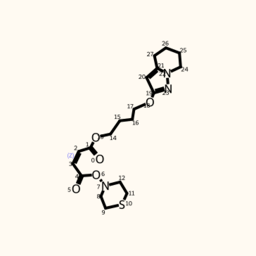 O=C(/C=C\C(=O)ON1CCSCC1)OCCCCOc1cc2n(n1)CCCC2